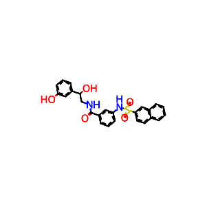 O=C(NCC(O)c1cccc(O)c1)c1cccc(NS(=O)(=O)c2ccc3ccccc3c2)c1